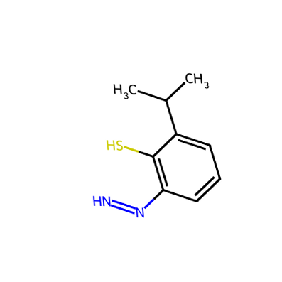 CC(C)c1cccc(N=N)c1S